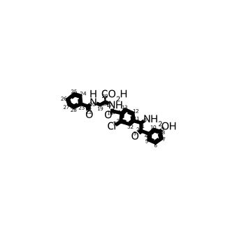 NC(C(=O)c1cccc(O)c1)c1ccc(C(=O)N[C@@H](CNC(=O)c2ccccc2)C(=O)O)c(Cl)c1